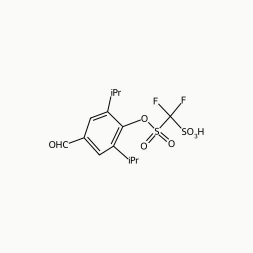 CC(C)c1cc(C=O)cc(C(C)C)c1OS(=O)(=O)C(F)(F)S(=O)(=O)O